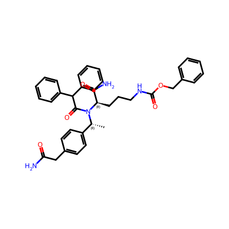 C[C@H](c1ccc(CC(N)=O)cc1)N(C(=O)C(c1ccccc1)c1ccccc1)[C@H](CCCNC(=O)OCc1ccccc1)C(N)=O